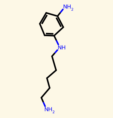 NCCCCCNc1cccc(N)c1